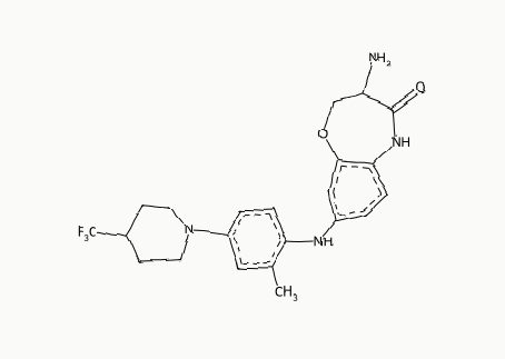 Cc1cc(N2CCC(C(F)(F)F)CC2)ccc1Nc1ccc2c(c1)OCC(N)C(=O)N2